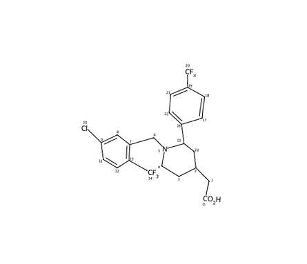 O=C(O)CC1CCN(Cc2cc(Cl)ccc2C(F)(F)F)C(c2ccc(C(F)(F)F)cc2)C1